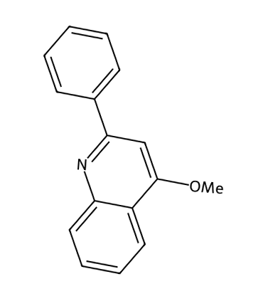 [CH2]Oc1cc(-c2ccccc2)nc2ccccc12